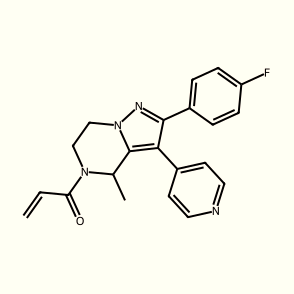 C=CC(=O)N1CCn2nc(-c3ccc(F)cc3)c(-c3ccncc3)c2C1C